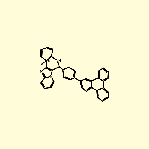 C[C@@]12C=CC=CC1NC(C1C=CC(c3ccc4c5ccccc5c5ccccc5c4c3)=CC1)c1c2nc2ccccn12